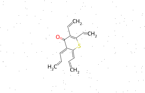 C=C/C=c1/c(=O)c(C=C)c(C=C)s/c1=C/C=C